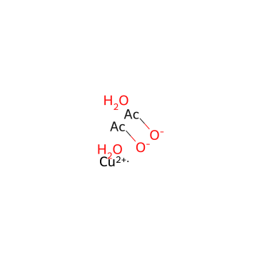 CC(=O)[O-].CC(=O)[O-].O.O.[Cu+2]